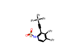 CCCc1cccc(C#C[Si](C(C)C)(C(C)C)C(C)C)c1CCC.N[SH](=O)=O